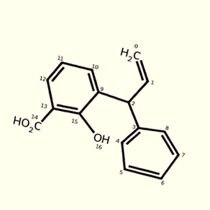 C=CC(c1ccccc1)c1cccc(C(=O)O)c1O